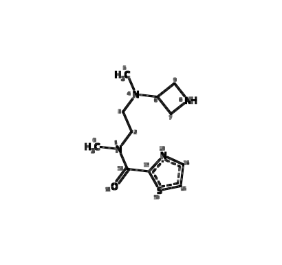 CN(CCN(C)C1CNC1)C(=O)c1nccs1